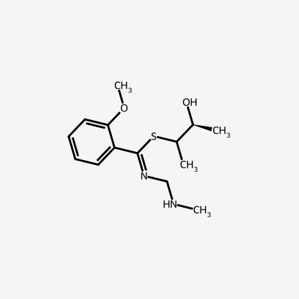 CNC/N=C(\SC(C)[C@H](C)O)c1ccccc1OC